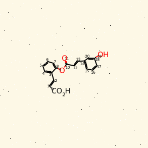 O=C(O)C=Cc1ccccc1OC(=O)C=Cc1cccc(O)c1